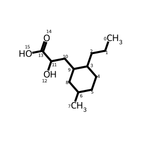 CCCC1CCC(C)CC1CC(O)C(=O)O